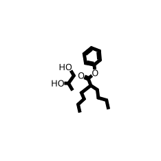 CC(O)CO.CCCCC(CCCC)C(=O)Oc1ccccc1